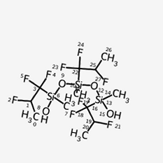 CC(F)C(F)(F)[Si](C)(O)O[Si](C)(O[Si](C)(O)C(F)(F)C(C)F)C(F)(F)C(C)F